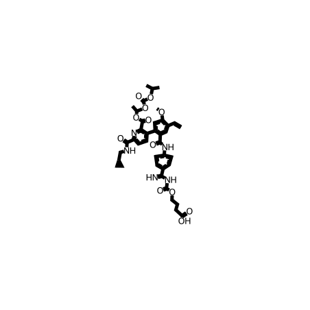 C=Cc1cc(C(=O)Nc2ccc(C(=N)NC(=O)OCCCC(=O)O)cc2)c(-c2ccc(C(=O)NCC3CC3)nc2C(=O)OC(C)OC(=O)OC(C)C)cc1OC